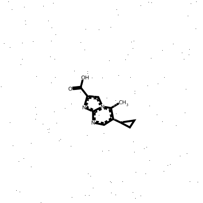 Cc1c(C2CC2)cnc2nc(C(=O)O)cn12